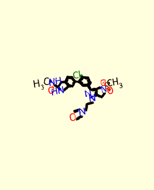 CNC(=O)C1Cc2ccc(-c3cc(-c4nn(CCCN5CCOCC5)c5c4CN(S(C)(=O)=O)CC5)ccc3Cl)cc2CN1